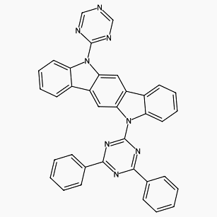 c1ccc(-c2nc(-c3ccccc3)nc(-n3c4ccccc4c4cc5c(cc43)c3ccccc3n5-c3ncncn3)n2)cc1